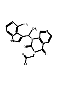 Cc1cccc2[nH]cc(C(C)n3c(=O)n(CC(=O)O)c(=O)c4ccncc43)c12